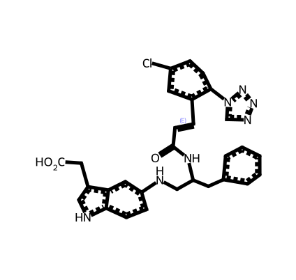 O=C(O)Cc1c[nH]c2ccc(NCC(Cc3ccccc3)NC(=O)/C=C/c3cc(Cl)ccc3-n3cnnn3)cc12